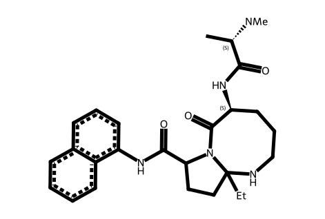 CCC12CCC(C(=O)Nc3cccc4ccccc34)N1C(=O)[C@@H](NC(=O)[C@H](C)NC)CCCN2